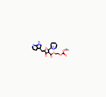 CC(C)(C)OC(=O)OCCOC(=O)C1=C(C2=CC=CC=CN2)OC(=Cc2c[nH]c3ncccc23)C1=O